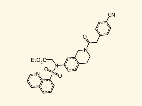 CCOC(=O)CN(c1ccc2c(c1)CN(C(=O)Cc1ccc(C#N)cc1)CC2)S(=O)(=O)c1cccc2cccnc12